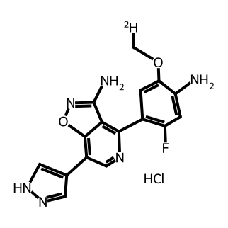 Cl.[2H]COc1cc(-c2ncc(-c3cn[nH]c3)c3onc(N)c23)c(F)cc1N